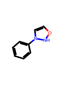 [C]1=CN(c2ccccc2)NO1